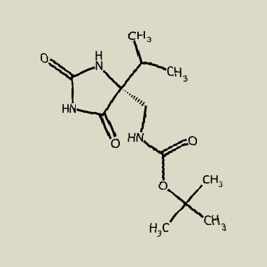 CC(C)[C@]1(CNC(=O)OC(C)(C)C)NC(=O)NC1=O